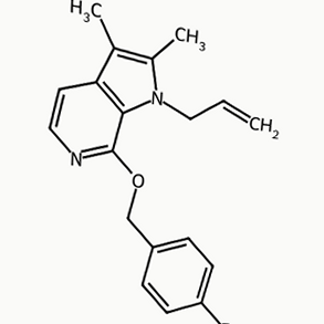 C=CCn1c(C)c(C)c2ccnc(OCc3ccc(F)cc3)c21